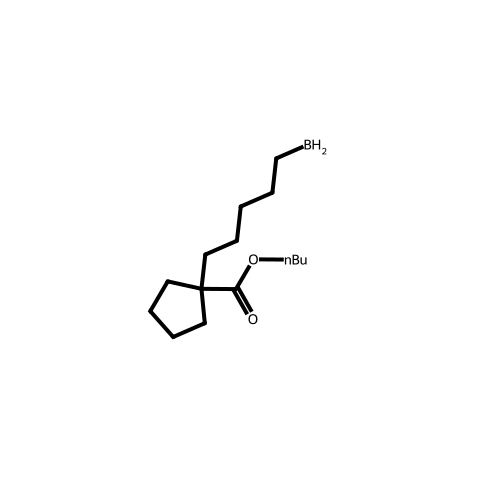 BCCCCCC1(C(=O)OCCCC)CCCC1